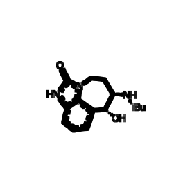 CC[C@@H](C)N[C@@H]1CCn2c(=O)[nH]c3cccc(c32)[C@H]1O